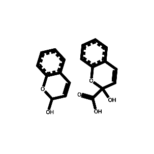 O=C(O)C1(O)C=Cc2ccccc2O1.OC1C=Cc2ccccc2O1